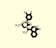 C[C@H](O)CN(C(=O)Nc1ccc(F)c(Cl)c1)[C@H](C)c1c[nH]c(=O)c2ccccc12